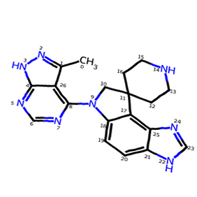 Cc1n[nH]c2ncnc(N3CC4(CCNCC4)c4c3ccc3[nH]cnc43)c12